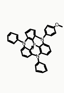 COc1ccc(N2c3cccc4c3P3(=S)c5c(cccc5N(c5ccccc5)c5cccc2c53)N4c2ccccc2)cc1